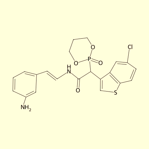 Nc1cccc(C=CNC(=O)C(c2csc3ccc(Cl)cc23)P2(=O)OCCCO2)c1